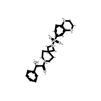 O=C([C@@H](O)c1ccccc1)N1CCC2(CC1)CN(S(=O)(=O)c1ccc3c(c1)OCCO3)C2